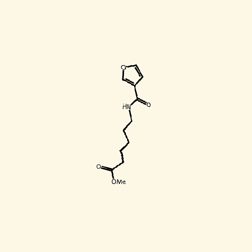 COC(=O)CCCCCNC(=O)c1ccoc1